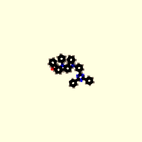 c1ccc(-c2nc(-c3ccccc3)nc(-c3cccc(-n4c5ccccc5c5c4ccc4c6ccc7oc8ccccc8c7c6n(-c6ccccc6)c45)c3)n2)cc1